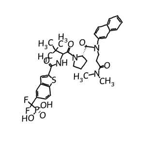 CN(C)C(=O)CCN(C(=O)[C@@H]1CCCN1C(=O)C(NC(=O)c1cc2cc(C(F)(F)P(=O)(O)O)ccc2s1)C(C)(C)C)c1ccc2ccccc2c1